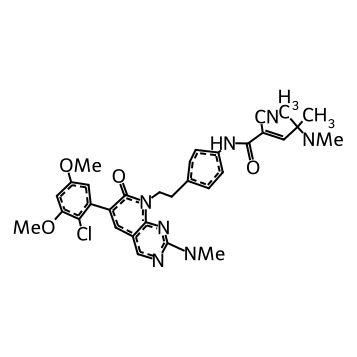 CNc1ncc2cc(-c3cc(OC)cc(OC)c3Cl)c(=O)n(CCc3ccc(NC(=O)/C(C#N)=C/C(C)(C)NC)cc3)c2n1